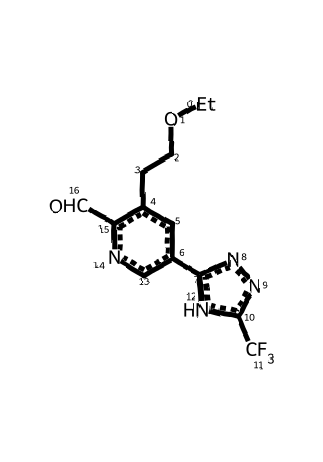 CCOCCc1cc(-c2nnc(C(F)(F)F)[nH]2)cnc1C=O